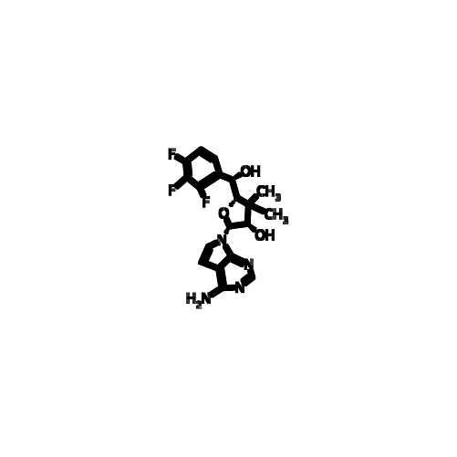 CC1(C)[C@@H]([C@H](O)c2ccc(F)c(F)c2F)O[C@@H](n2ccc3c(N)ncnc32)[C@@H]1O